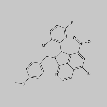 COc1ccc(CN2c3nccc4c(Br)cc([N+](=O)[O-])c(c34)C2c2cc(F)ccc2Cl)cc1